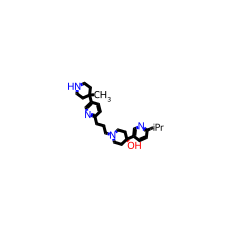 CC(C)c1ccc(C2(O)CCN(CCCc3ccc(C4(C)CCNCC4)cn3)CC2)cn1